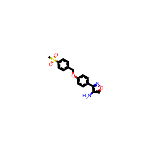 CS(=O)(=O)c1ccc(COc2ccc(-c3nocc3N)cc2)cc1